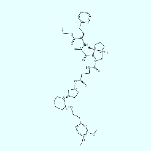 CCOC(=O)[C@@H](CCc1ccccc1)N[C@H](C)C(=O)N1[C@@H](C(=O)NCCC(=O)O[C@@H]2CCN([C@@H]3CCCC[C@H]3OCCc3ccc(OC)c(OC)c3)C2)C[C@H]2CCC[C@H]21